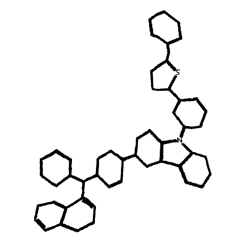 C1=CC2CCC=C(C(C3CCCCC3)C3CCC(C4CCC5C(C4)C4CCCCC4N5C4CCCC(C5CCC(C6CCCCC6)S5)C4)CC3)C2CC1